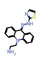 NCCn1c2ccccc2c(=NNc2nccs2)c2ccccc21